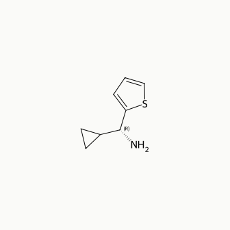 N[C@@H](c1cccs1)C1CC1